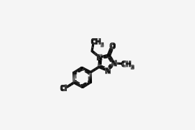 CCn1c(-c2ccc(Cl)cc2)nn(C)c1=O